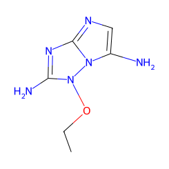 CCOn1c(N)nc2ncc(N)n21